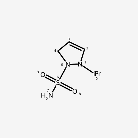 CC(C)N1C=CCN1S(N)(=O)=O